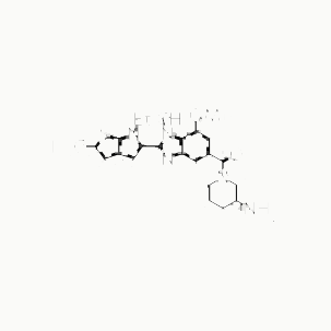 CCn1c(-c2nc3cc(C(=O)N4CCCC(N)C4)cc(OC)c3n2C)cc2cc(C)sc21